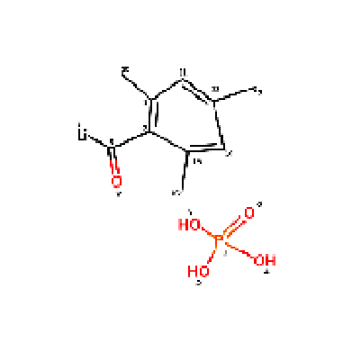 O=P(O)(O)O.[Li][C](=O)c1c(C)cc(C)cc1C